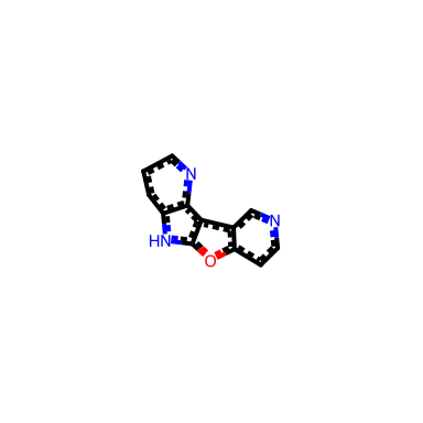 c1cnc2c(c1)[nH]c1oc3ccncc3c12